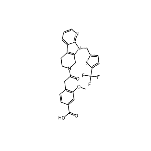 COc1cc(C(=O)O)ccc1CC(=O)N1CCc2c(n(Cc3ccc(C(F)(F)F)s3)c3ncccc23)C1